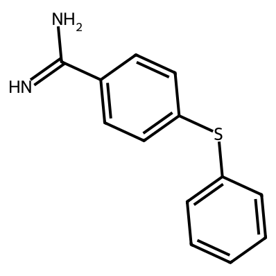 N=C(N)c1ccc(Sc2ccccc2)cc1